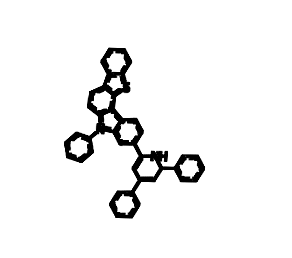 C1=C(c2ccccc2)C=C(c2ccc3c4c5sc6ccccc6c5ccc4n(-c4ccccc4)c3c2)NC1c1ccccc1